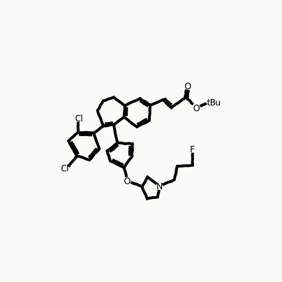 CC(C)(C)OC(=O)/C=C/c1ccc2c(c1)CCCC(c1ccc(Cl)cc1Cl)=C2c1ccc(OC2CCN(CCCF)C2)cc1